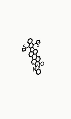 O=c1c2ccc3c4ccc5c6c(ccc(c7ccc(c2c37)c2nc3ccccc3n12)c64)-c1c-5c(-c2cccs2)c2ccccc2c1-c1cccs1